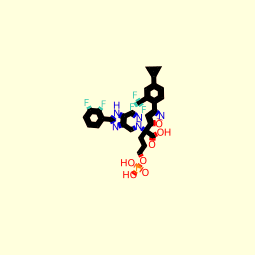 O=C(O)C(CCCOP(=O)(O)O)(c1cc(-c2ccc(C3CC3)cc2C(F)(F)F)no1)N1Cc2nc(-c3cccc(F)c3F)[nH]c2C=N1